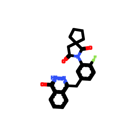 O=C1CC2(CCCC2)C(=O)N1c1cc(Cc2n[nH]c(=O)c3ccccc23)ccc1F